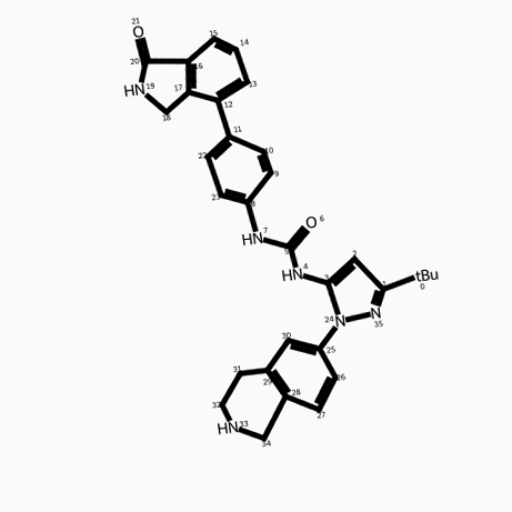 CC(C)(C)c1cc(NC(=O)Nc2ccc(-c3cccc4c3CNC4=O)cc2)n(-c2ccc3c(c2)CCNC3)n1